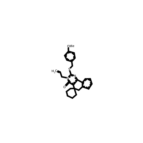 C=CCn1c(SCc2ccc(OC)cc2)nc2c(c1=O)C1(CCCCC1)Cc1ccccc1-2